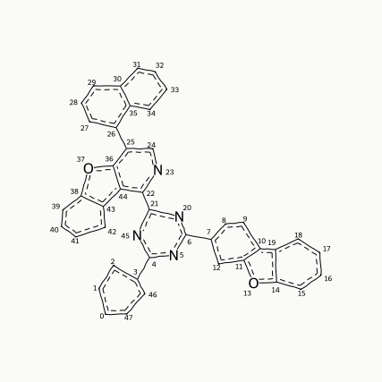 c1ccc(-c2nc(-c3ccc4c(c3)oc3ccccc34)nc(-c3ncc(-c4cccc5ccccc45)c4oc5ccccc5c34)n2)cc1